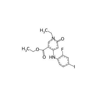 CCOC(=O)c1cn(CC)c(=O)cc1Nc1ccc(I)cc1F